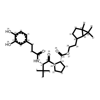 CC(C)(C)[C@H](NC(=O)CCc1ccc(O)c(O)c1)C(=O)N1CCC[C@H]1C(=O)OCCC1CCC2(C)C1C2(C)C